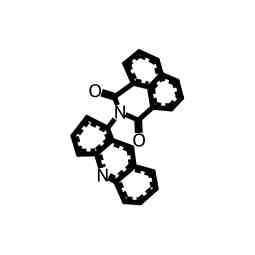 O=C1c2cccc3cccc(c23)C(=O)N1c1cccc2nc3ccccc3cc12